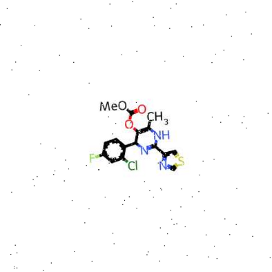 COC(=O)OC1=C(C)NC(c2cscn2)=NC1c1ccc(F)cc1Cl